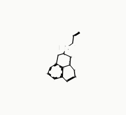 C=CCNC1Cc2cccc3c2C(CC=C3)C1